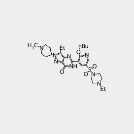 CCCCOc1ncc(S(=O)(=O)N2CCN(CC)CC2)cc1-c1nc2c(CC)n(C3CCN(C)CC3)nc2c(=O)[nH]1